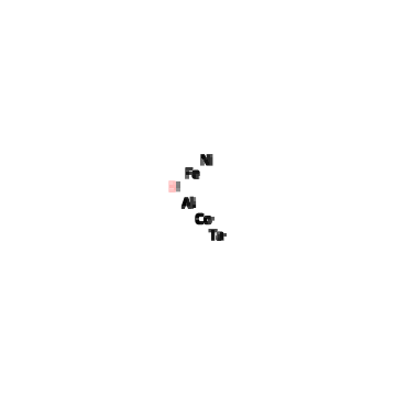 [Al].[B].[Co].[Fe].[Ni].[Ta]